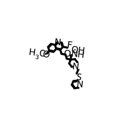 COc1ccc2ncc(CF)c(CCCC3(C(=O)NO)CCN(CCSc4ccccn4)CC3)c2c1